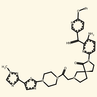 CC(C)Oc1ccc(C(=N)c2nc(N3CC[C@]4(CCN(CC(=O)N5CCN(c6ncc(-c7ncn(C)n7)s6)CC5)C4)C3=O)ccc2N)cn1